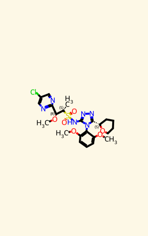 COc1cccc(OC)c1-n1c(NS(=O)(=O)[C@@H](C)[C@H](OC)c2ncc(Cl)cn2)nnc1[C@@H]1CCCCO1